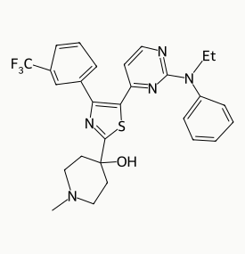 CCN(c1ccccc1)c1nccc(-c2sc(C3(O)CCN(C)CC3)nc2-c2cccc(C(F)(F)F)c2)n1